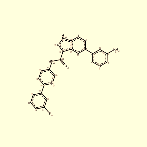 Nc1cncc(-c2ccc3[nH]nc(C(=O)Nc4ccc(-c5cccc(F)c5)nc4)c3c2)c1